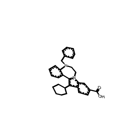 O=C(O)c1ccc2c(C3CCCCC3)c3n(c2c1)CCN(Cc1ccccc1)c1ccccc1-3